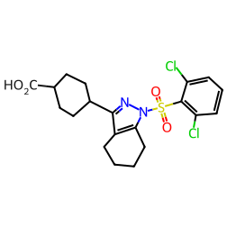 O=C(O)C1CCC(c2nn(S(=O)(=O)c3c(Cl)cccc3Cl)c3c2CCCC3)CC1